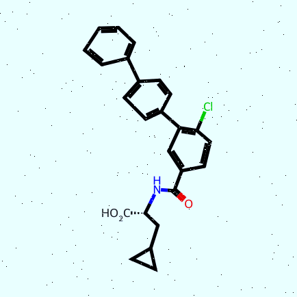 O=C(N[C@H](CC1CC1)C(=O)O)c1ccc(Cl)c(-c2ccc(-c3ccccc3)cc2)c1